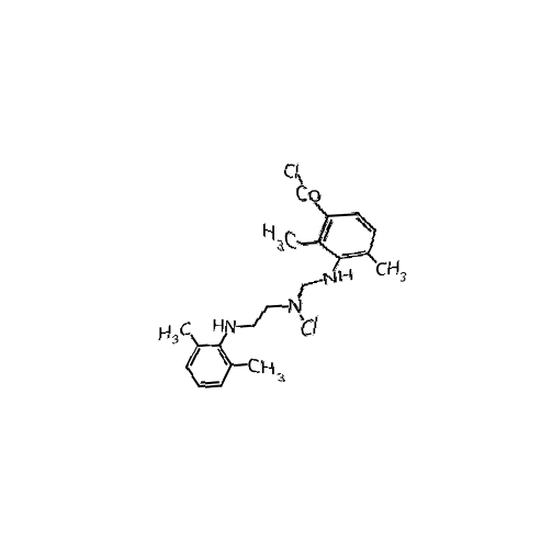 Cc1cccc(C)c1NCCN(Cl)CNc1c(C)cc[c]([Co][Cl])c1C